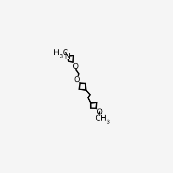 COC1CC(CCC2CC(OCCOC3CN(C)C3)C2)C1